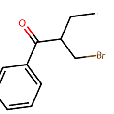 [CH2]CC(CBr)C(=O)c1ccccc1